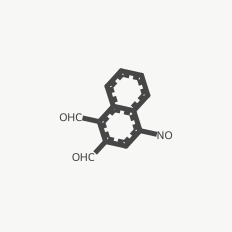 O=Cc1cc(N=O)c2ccccc2c1C=O